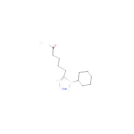 COC(=O)CCCCc1nnnn1C1CCCCC1